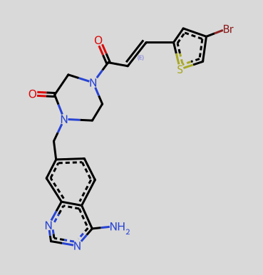 Nc1ncnc2cc(CN3CCN(C(=O)/C=C/c4cc(Br)cs4)CC3=O)ccc12